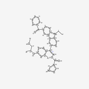 CCn1c2ccc(C(=O)c3ccccc3)cc2c2cc(/C(=N/OC(=O)n3ccnc3)c3ccc(OC(C)COC)cc3C)ccc21